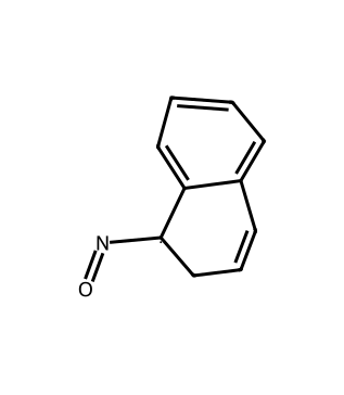 O=N[C]1CC=Cc2ccccc21